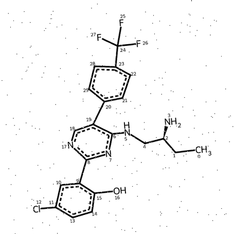 CC[C@H](N)CNc1nc(-c2cc(Cl)ccc2O)ncc1-c1ccc(C(F)(F)F)cc1